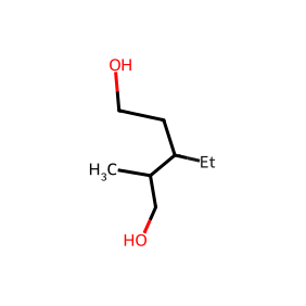 CC[C](CCO)C(C)CO